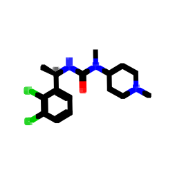 C[C@@H](NC(=O)N(C)C1CCN(C)CC1)c1cccc(Cl)c1Cl